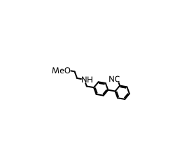 COCCNCc1ccc(-c2ccccc2C#N)cc1